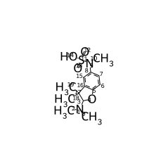 CN(C)C1Oc2ccc(N(C)S(=O)(=O)O)cc2C1(C)C